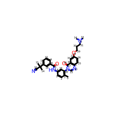 Cc1ccc(NC(=O)c2cccc(C(C)(C)C#N)c2)cc1-n1cnc2ccc(OCCCN(C)C)cc2c1=O